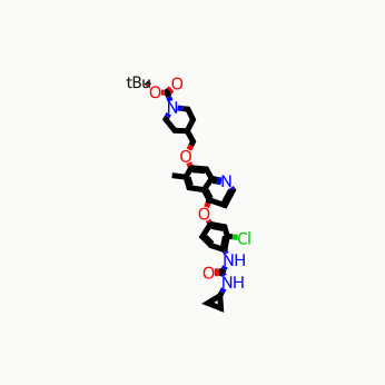 Cc1cc2c(Oc3ccc(NC(=O)NC4CC4)c(Cl)c3)ccnc2cc1OCC1CCN(C(=O)OC(C)(C)C)CC1